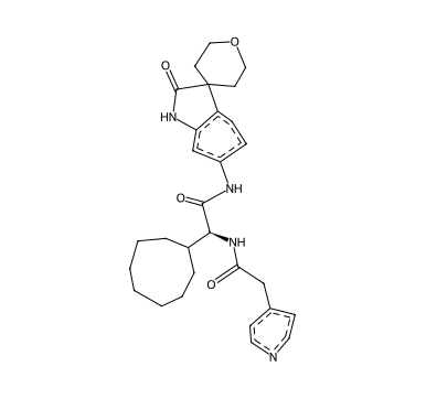 O=C(Cc1ccncc1)N[C@H](C(=O)Nc1ccc2c(c1)NC(=O)C21CCOCC1)C1CCCCCCC1